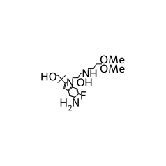 COC(CCCNC[C@H](O)Cn1c(C(C)(C)CO)cc2cc(N)c(F)cc21)OC